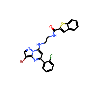 O=C(NCCNc1cc(-c2ccccc2Cl)nc2c(Br)cnn12)c1cc2ccccc2s1